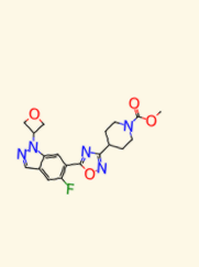 COC(=O)N1CCC(c2noc(-c3cc4c(cnn4C4COC4)cc3F)n2)CC1